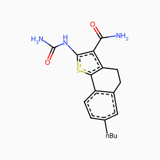 CCCCc1ccc2c(c1)CCc1c-2sc(NC(N)=O)c1C(N)=O